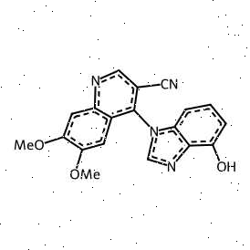 COc1cc2ncc(C#N)c(-n3cnc4c(O)cccc43)c2cc1OC